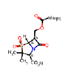 CCCCCCCC(=O)OC[C@H]1C(=O)N2[C@@H](C(=O)O)C(C)(C)S(=O)(=O)[C@H]12